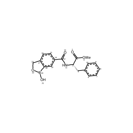 COC(=O)[C@H](Cc1ccccc1)NC(=O)c1ccc2c(c1)B(O)OC2